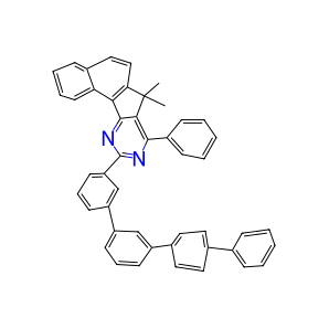 CC1(C)c2ccc3ccccc3c2-c2nc(-c3cccc(-c4cccc(-c5ccc(-c6ccccc6)cc5)c4)c3)nc(-c3ccccc3)c21